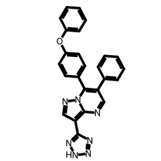 c1ccc(Oc2ccc(-c3c(-c4ccccc4)cnc4c(-c5nn[nH]n5)cnn34)cc2)cc1